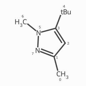 Cc1cc(C(C)(C)C)n(C)n1